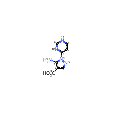 Nc1c(C(=O)O)cnn1-c1ccncn1